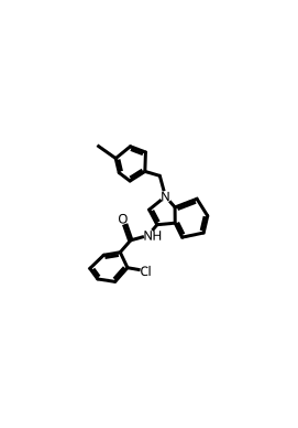 Cc1ccc(Cn2cc(NC(=O)c3ccccc3Cl)c3ccccc32)cc1